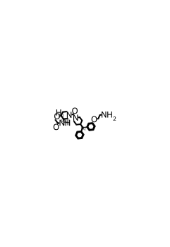 NCCOc1cccc([C@@H](c2ccccc2)C2CCN(C(=O)N3CC[C@@H]4OCC(=O)N[C@@H]4C3)CC2)c1